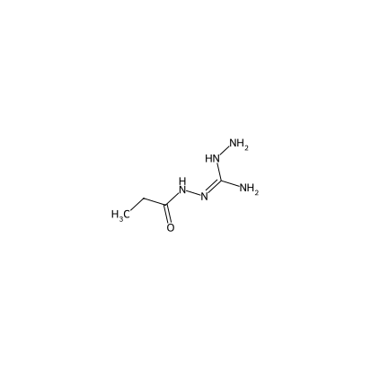 CCC(=O)NN=C(N)NN